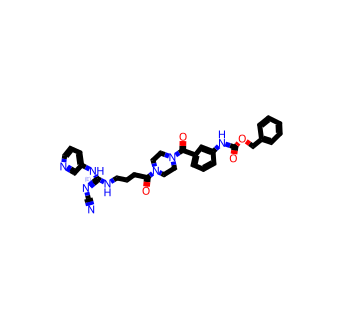 N#C/N=C(\NCCCC(=O)N1CCN(C(=O)c2cccc(NC(=O)OCc3ccccc3)c2)CC1)Nc1cccnc1